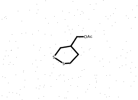 CC(=O)OCC1CCSSC1